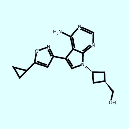 Nc1ncnc2c1c(-c1cc(C3CC3)on1)cn2[C@H]1C[C@H](CO)C1